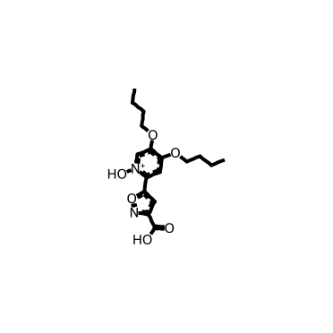 CCCCOc1cc(-c2cc(C(=O)O)no2)[n+](O)cc1OCCCC